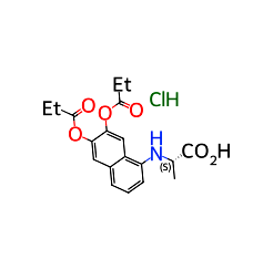 CCC(=O)Oc1cc2cccc(N[C@@H](C)C(=O)O)c2cc1OC(=O)CC.Cl